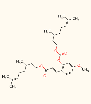 COc1ccc(C=CC(=O)OCCC(C)CCC=C(C)C)c(OC(=O)OCCC(C)CCC=C(C)C)c1